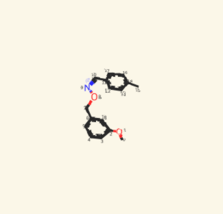 COc1cccc(CO/N=[C]\c2ccc(C)cc2)c1